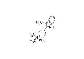 CCCCC1(N(C)C)CCC(c2[nH]c3ccccc3c2C)CC1